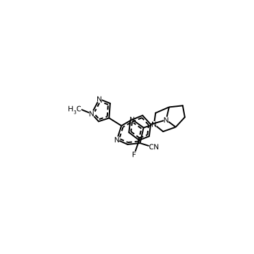 Cn1cc(-c2ncc(C#N)c(N3CC4CCC(C3)N4c3cccc(F)c3)n2)cn1